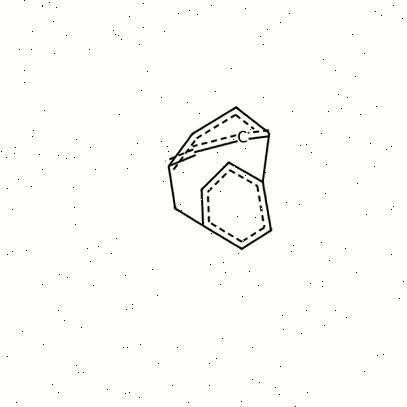 c1cc2ccc1Cc1ccc-2cc1